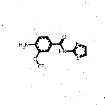 Nc1ccc(C(=O)Nc2nccs2)cc1OC(F)(F)F